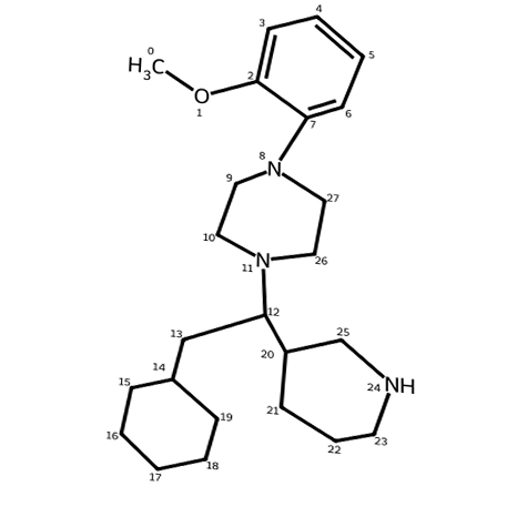 COc1ccccc1N1CCN(C(CC2CCCCC2)C2CCCNC2)CC1